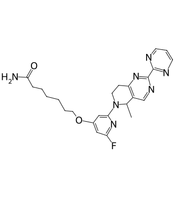 CC1c2cnc(-c3ncccn3)nc2CCN1c1cc(OCCCCCCC(N)=O)cc(F)n1